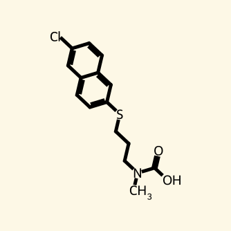 CN(CCCSc1ccc2cc(Cl)ccc2c1)C(=O)O